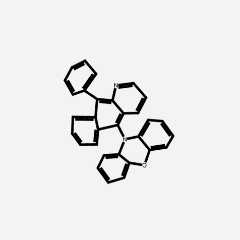 c1ccc(-c2c3ccccc3c(N3c4ccccc4Oc4ccccc43)c3cccnc23)cc1